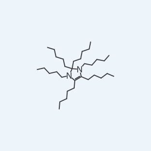 CCCCCC1=C(CCCCC)N(CCCCC)C(CCCCC)(CCCCC)N1CCCCC